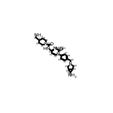 Cl.NCC1CCN(C(=O)Nc2ccn(-c3ccc(CN4CC5C(N)C5C4)cc3)c(=O)n2)CC1